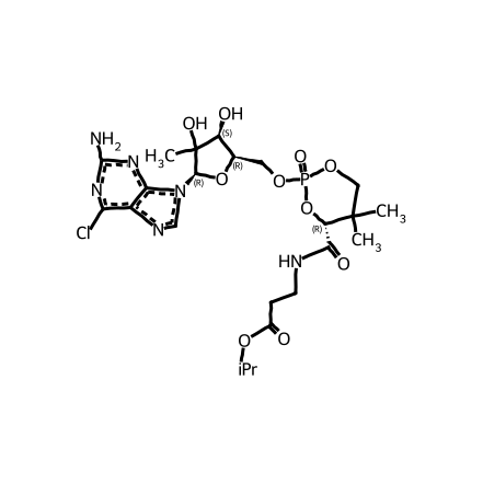 CC(C)OC(=O)CCNC(=O)[C@@H]1OP(=O)(OC[C@H]2O[C@@H](n3cnc4c(Cl)nc(N)nc43)C(C)(O)[C@H]2O)OCC1(C)C